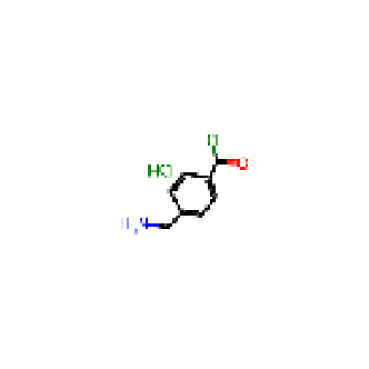 Cl.NCc1ccc(C(=O)Cl)cc1